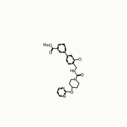 COC(=O)c1cccc(-c2ccc(CNC(=O)N3CCC(Oc4ncccn4)CC3)c(Cl)c2)c1